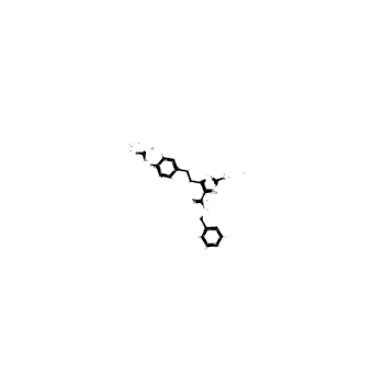 CC(=O)Nc1nc(CCc2ccc(OC(=O)NC(C)(C)C)cc2)c(C(=O)NCc2ccccc2)s1